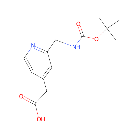 CC(C)(C)OC(=O)NCc1cc(CC(=O)O)ccn1